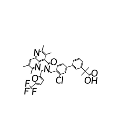 Cc1cc2nc(C)c(C)c(C(=O)N(Cc3ccc(C(F)(F)F)o3)Cc3ccc(-c4cccc(C(C)(C)C(=O)O)c4)cc3Cl)c2nc1C